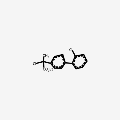 CCOC(=O)C(C)(Cl)c1ccc(-c2ccccc2Cl)cc1